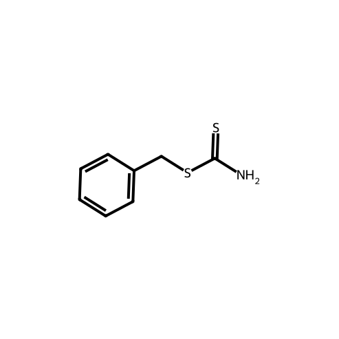 NC(=S)SCc1ccccc1